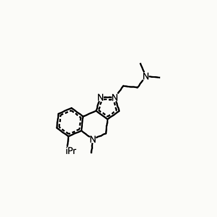 CC(C)c1cccc2c1N(C)Cc1cn(CCN(C)C)nc1-2